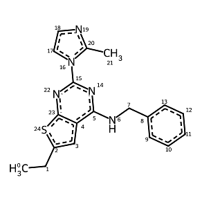 CCc1cc2c(NCc3ccccc3)nc(-n3ccnc3C)nc2s1